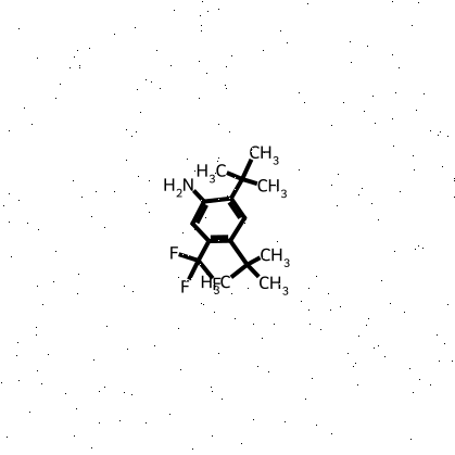 CC(C)(C)c1cc(C(C)(C)C)c(C(F)(F)F)cc1N